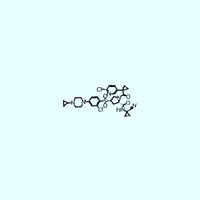 N#CC1(NC(=O)[C@@H]2C[C@@H](S(=O)(=O)c3ccc(N4CCN(C5CC5)CC4)cc3Cl)CN2C(=O)C2(c3ccc(Cl)nc3)CC2)CC1